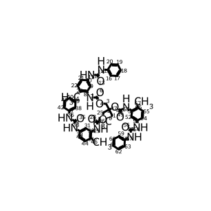 CCC(COC(=O)Nc1cc(NC(=O)Nc2ccccc2)ccc1C)(COC(=O)Nc1cc(NC(=O)Nc2ccccc2)ccc1C)OC(=O)Nc1cc(NC(=O)Nc2ccccc2)ccc1C